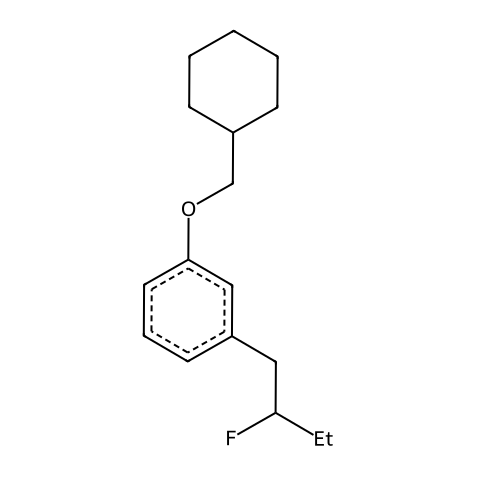 CCC(F)Cc1cccc(OCC2CCCCC2)c1